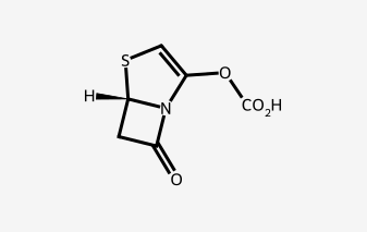 O=C(O)OC1=CS[C@H]2CC(=O)N12